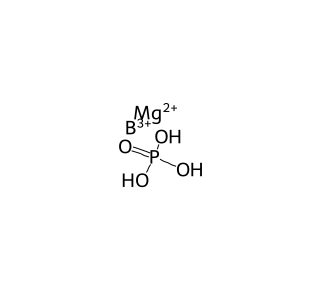 O=P(O)(O)O.[B+3].[Mg+2]